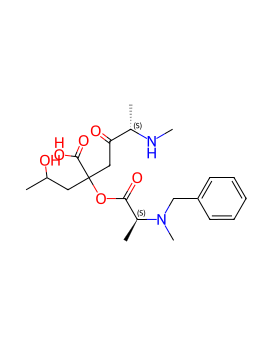 CN[C@@H](C)C(=O)CC(CC(C)O)(OC(=O)[C@H](C)N(C)Cc1ccccc1)C(=O)O